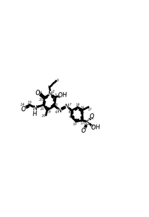 CCn1c(O)c(N=Nc2ccc(S(=O)(=O)O)c(C)c2)c(C)c(NC=O)c1=O